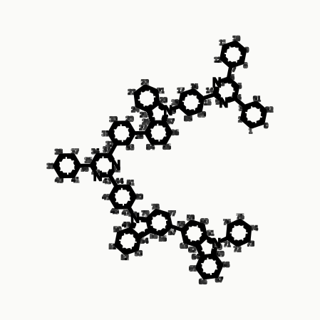 c1ccc(-c2cc(-c3ccccc3)nc(-c3ccc(-n4c5ccccc5c5c(-c6cccc(-c7cc(-c8ccccc8)nc(-c8ccc(-n9c%10ccccc%10c%10cc(-c%11ccc%12c(c%11)c%11ccccc%11n%12-c%11ccccc%11)ccc%109)cc8)n7)c6)cccc54)cc3)n2)cc1